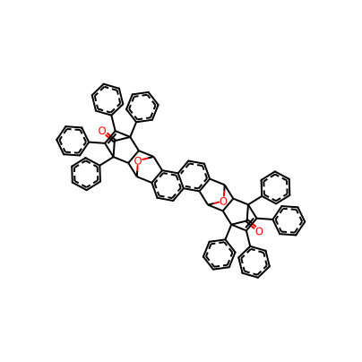 O=C1C2(c3ccccc3)C(c3ccccc3)=C(c3ccccc3)C1(c1ccccc1)C1C3OC(c4ccc5c6c(ccc5c43)C3OC6C4C3C3(c5ccccc5)C(=O)C4(c4ccccc4)C(c4ccccc4)=C3c3ccccc3)C12